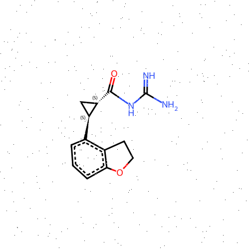 N=C(N)NC(=O)[C@H]1C[C@@H]1c1cccc2c1CCO2